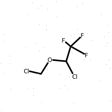 FC(F)(F)C(Cl)OCCl